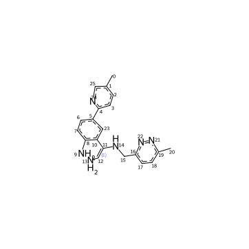 Cc1ccc(-c2ccc(N)c(/C(=C\N)NCc3ccc(C)nn3)c2)nc1